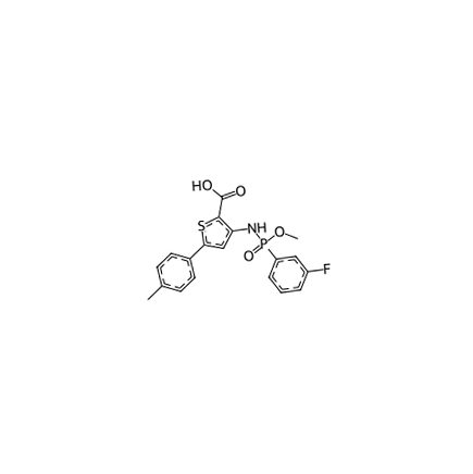 COP(=O)(Nc1cc(-c2ccc(C)cc2)sc1C(=O)O)c1cccc(F)c1